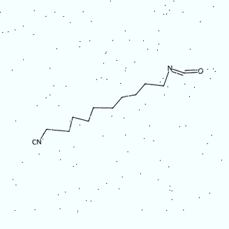 [C-]#[N+]CCCCCCCCCCN=C=O